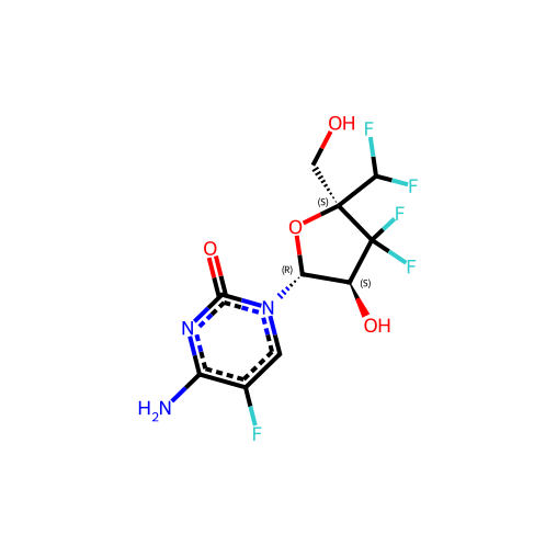 Nc1nc(=O)n([C@@H]2O[C@@](CO)(C(F)F)C(F)(F)[C@H]2O)cc1F